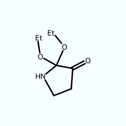 CCOC1(OCC)NCCC1=O